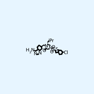 CC(C)C[C@H]1CN(S(=O)(=O)c2cc3ccc(Cl)cc3s2)CC(=O)N1Cc1ccc2c(N)ncnc2c1